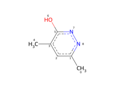 Cc1cc(C)c(O)nn1